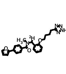 [2H]C(c1ccccc1OCCCCc1nn[nH]n1)N(C)C(=O)c1ccc(-c2ccco2)cc1